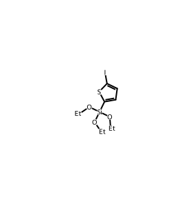 CCO[Si](OCC)(OCC)c1ccc(I)s1